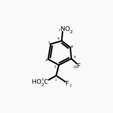 O=C(O)C(F)c1ccc([N+](=O)[O-])cc1F